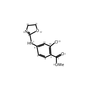 COC(=O)c1ccc(NC2=NCCO2)cc1Cl